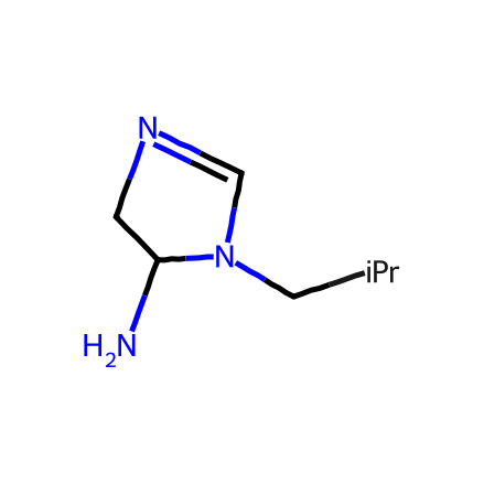 CC(C)CN1C=NCC1N